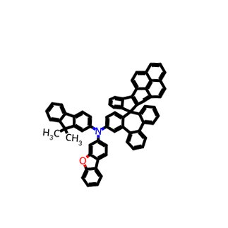 CC1(C)c2ccccc2-c2ccc(N(c3ccc4c(c3)-c3ccccc3-c3ccccc3C43c4ccccc4-c4c3cc3ccc5cccc6ccc4c3c56)c3ccc4c(c3)oc3ccccc34)cc21